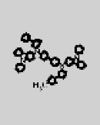 C[C@@H]1C=CC(c2cccc(N(c3ccc(-c4ccc(N(c5cccc(-c6ccccc6)c5)c5ccc6c(c5)c5ccccc5n6C5=CC=CCC5)cc4)cc3)c3ccc4c(c3)c3ccccc3n4C3=CC=CCC3)c2)=CC1